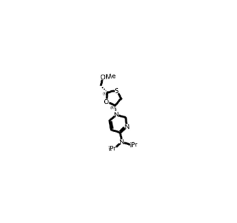 COC[C@H]1O[C@@H](N2C=CC(N(C(C)C)C(C)C)=NC2)CS1